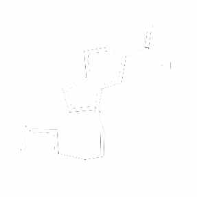 O=C(O)c1ccc2cc3n(c2c1)C=CCc1ocnc1-3